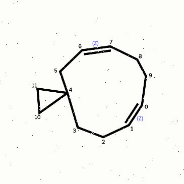 C1=C\CCC2(C/C=C\CC/1)CC2